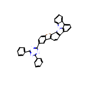 c1ccc(-c2nc(-c3ccccc3)nc(-c3ccc4sc5c(ccc6c7cccc8c9ccccc9n(c87)c65)c4c3)n2)cc1